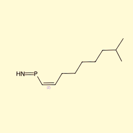 CC(C)CCCCC/C=C\P=N